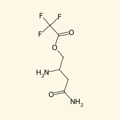 NC(=O)CC(N)COC(=O)C(F)(F)F